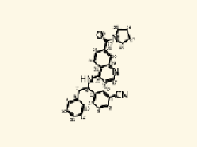 N#Cc1cccc(C(Cc2ccccc2)Nc2ccnc3cc(C(=O)N4CCCC4)ccc23)c1